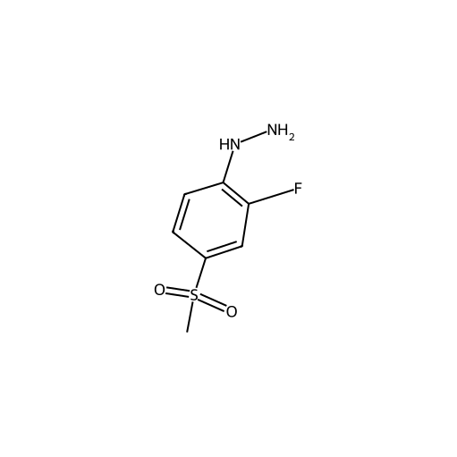 CS(=O)(=O)c1ccc(NN)c(F)c1